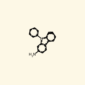 Nc1ccc2c3ccc#cc3n(-c3ccccc3)c2c1